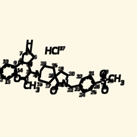 CC(=O)C([C@@H]1CNC[C@@H]1c1ccccc1)N1CCC2(CCN(Cc3ccc(S(C)(=O)=O)cc3)C2=O)CC1.Cl